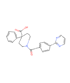 O=C(c1ccc(-c2ncccn2)cc1)N1CCC(C(=O)O)(c2ccccc2)CC1